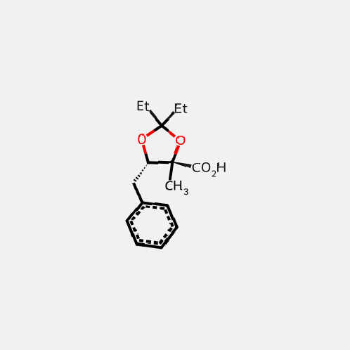 CCC1(CC)O[C@@H](Cc2ccccc2)[C@](C)(C(=O)O)O1